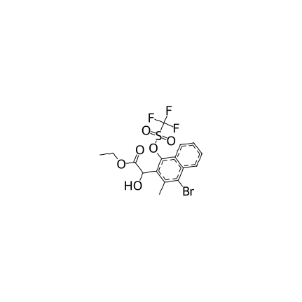 CCOC(=O)C(O)c1c(C)c(Br)c2ccccc2c1OS(=O)(=O)C(F)(F)F